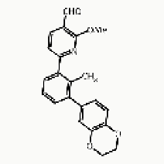 COc1nc(-c2cccc(-c3ccc4c(c3)OCCO4)c2C)ccc1C=O